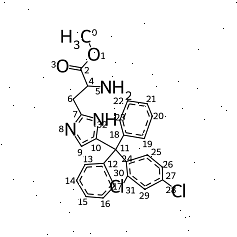 COC(=O)C(N)Cc1ncc(C(c2ccccc2)(c2ccccc2)c2ccc(Cl)cc2Cl)[nH]1